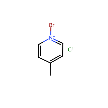 Cc1cc[n+](Br)cc1.[Cl-]